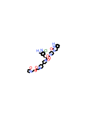 Cc1cc(C[C@@H](OC(=O)N2CCC(N3CCc4ccccc4NC3=O)CC2)C(=O)N2CCC(C3CCN(CC(=O)OCCN4CCCC4=O)CC3)CC2)cc(Cl)c1N